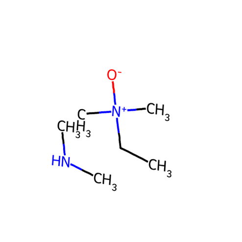 CC[N+](C)(C)[O-].CNC